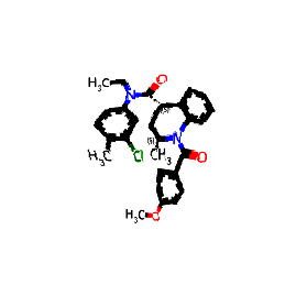 CCN(C(=O)[C@H]1C[C@H](C)N(C(=O)c2ccc(OC)cc2)c2ccccc21)c1ccc(C)c(Cl)c1